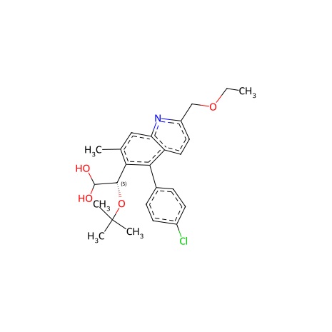 CCOCc1ccc2c(-c3ccc(Cl)cc3)c([C@H](OC(C)(C)C)C(O)O)c(C)cc2n1